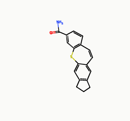 NC(=O)c1ccc2c(c1)Sc1cc3c(cc1C=C2)CCC3